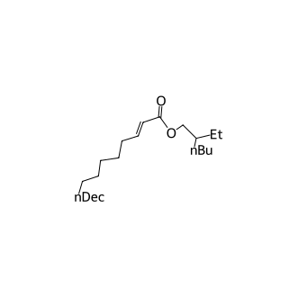 CCCCCCCCCCCCCCCC=CC(=O)OCC(CC)CCCC